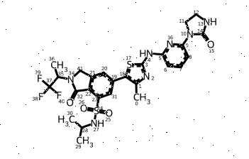 Cc1nc(Nc2cccc(N3CCNC3=O)n2)sc1-c1cc2c(c(S(=O)(=O)NC(C)C)c1)C(=O)N(C(C)C(F)(F)F)C2